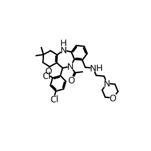 CC(=O)N1c2c(CNCCN3CCOCC3)cccc2NC2=C(C(=O)CC(C)(C)C2)C1c1ccc(Cl)cc1Cl